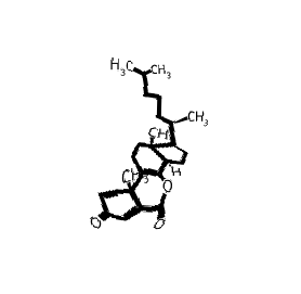 CC(C)CCC[C@@H](C)[C@H]1CC[C@H]2C3=C(CC[C@]12C)[C@@]1(C)C=CC(=O)C=C1C(=O)O3